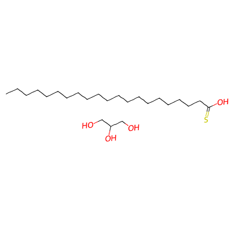 CCCCCCCCCCCCCCCCCCCCC(O)=S.OCC(O)CO